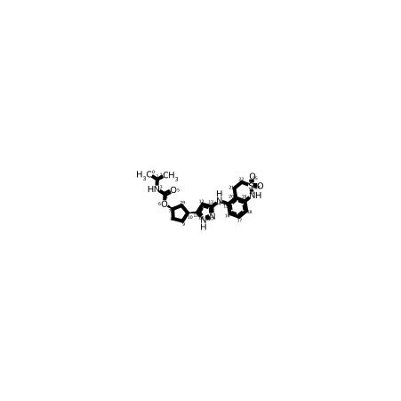 CC(C)NC(=O)O[C@@H]1CC[C@H](c2cc(Nc3cccc4c3CCS(=O)(=O)N4)n[nH]2)C1